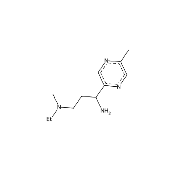 CCN(C)CCC(N)c1cnc(C)cn1